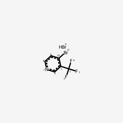 Br.FC(F)(F)c1cnccc1Br